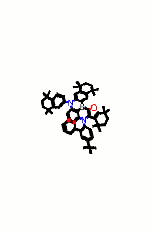 Cc1cc2c3c(c1)N(c1ccc(C(C)(C)C)cc1-c1ccccc1)c1c(oc4c1C(C)(C)CCC4(C)C)B3c1cc3c(cc1N2c1ccc2c(c1)C(C)(C)CCC2(C)C)C(C)(C)CCC3(C)C